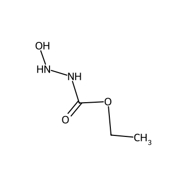 CCOC(=O)NNO